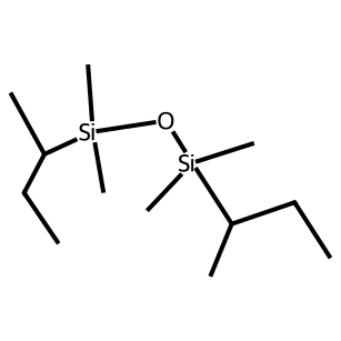 CCC(C)[Si](C)(C)O[Si](C)(C)C(C)CC